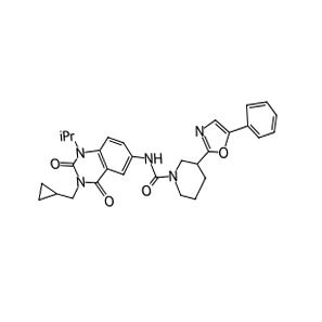 CC(C)n1c(=O)n(CC2CC2)c(=O)c2cc(NC(=O)N3CCCC(c4ncc(-c5ccccc5)o4)C3)ccc21